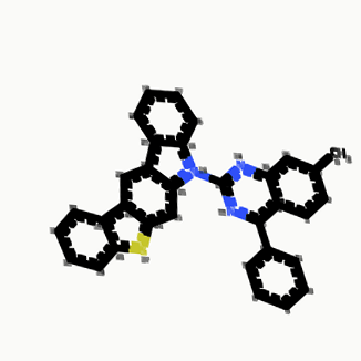 Cc1ccc2c(-c3ccccc3)nc(-n3c4ccccc4c4cc5c(cc43)sc3ccccc35)nc2c1